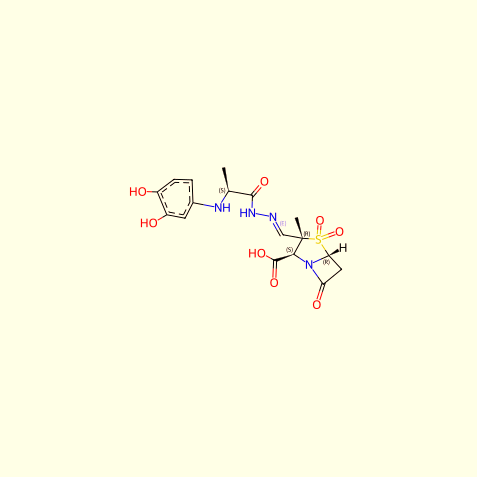 C[C@H](Nc1ccc(O)c(O)c1)C(=O)N/N=C/[C@@]1(C)[C@H](C(=O)O)N2C(=O)C[C@H]2S1(=O)=O